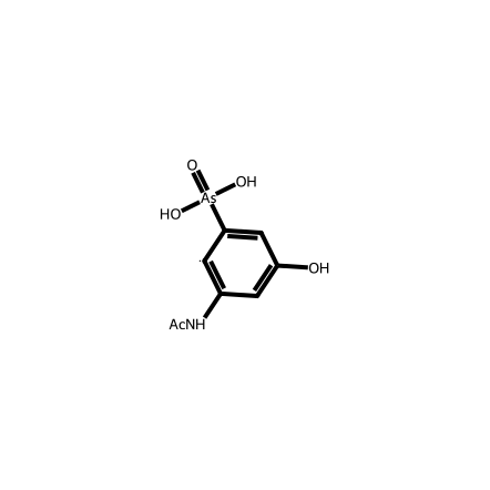 CC(=O)Nc1[c]c([As](=O)(O)O)cc(O)c1